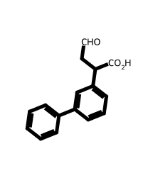 O=CCC(C(=O)O)c1cccc(-c2ccccc2)c1